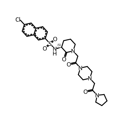 O=C(CN1CCN(C(=O)CN2CCC[C@H](NS(=O)(=O)c3ccc4cc(Cl)ccc4c3)C2=O)CC1)N1CCCC1